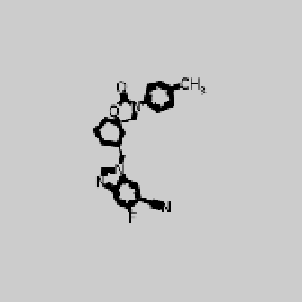 Cc1ccc(N2C[C@@]3(CCC[C@H](Cn4cnc5cc(F)c(C#N)cc54)C3)OC2=O)cc1